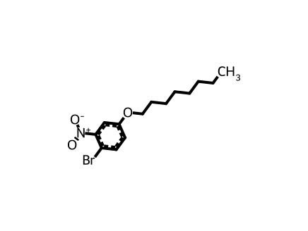 CCCCCCCCOc1ccc(Br)c([N+](=O)[O-])c1